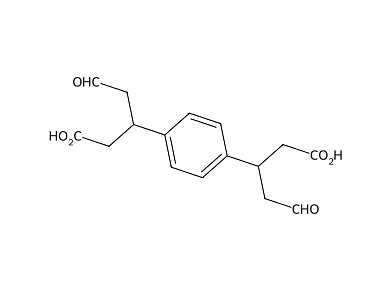 O=CCC(CC(=O)O)c1ccc(C(CC=O)CC(=O)O)cc1